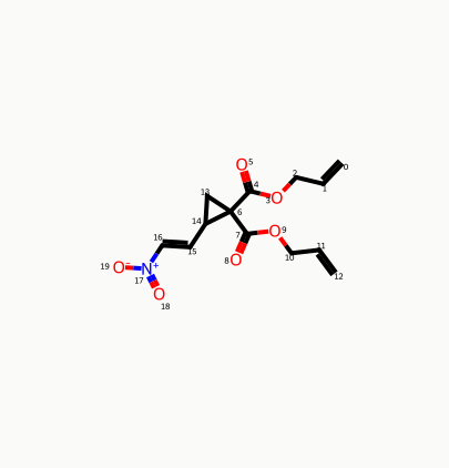 C=CCOC(=O)C1(C(=O)OCC=C)CC1/C=C/[N+](=O)[O-]